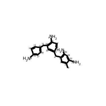 Cc1cc(Cc2ccc(N)c(Cc3ccc(N)cc3)c2)c(N)cc1N